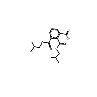 CC(C)COC(=O)c1cccc(C(=O)O)c1C(=O)OCC(C)C